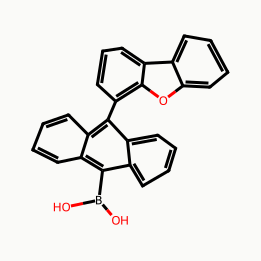 OB(O)c1c2ccccc2c(-c2cccc3c2oc2ccccc23)c2ccccc12